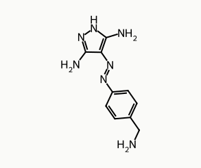 NCc1ccc(N=Nc2c(N)n[nH]c2N)cc1